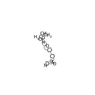 CC(C)(C)OC(=O)N1CCC2(CCc3cc(-c4ccc(CS(=O)(=O)Cc5cccnc5)cc4)ccc3O2)CC1